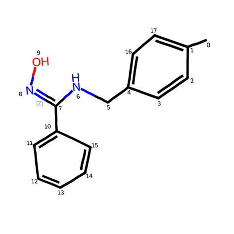 Cc1ccc(CN/C(=N\O)c2ccccc2)cc1